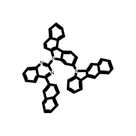 c1ccc2cc(-c3nc(-n4c5cc(-n6c7ccccc7c7cc8ccccc8cc76)ccc5c5c6ccccc6ccc54)nc4ccccc34)ccc2c1